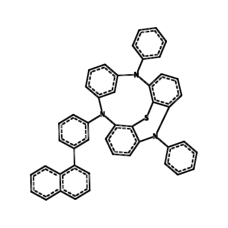 c1ccc(N2c3cccc(c3)N(c3cccc(-c4cccc5ccccc45)c3)c3cccc4c3Sc3c2cccc3N4c2ccccc2)cc1